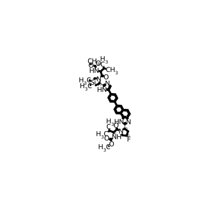 COC(=O)NC(C(=O)N1C[Si](C)(C)C[C@H]1c1ncc(-c2ccc(-c3ccc4c(ccc5nc([C@@H]6C[C@@H](F)CN6C(=O)[C@@H](NC(=O)OC)C(C)C)[nH]c54)c3)cc2)[nH]1)C(C)C